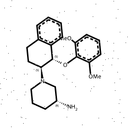 COc1cccc(OC)c1O[C@H]1c2ccccc2CC[C@@H]1N1CCC[C@@H](N)C1